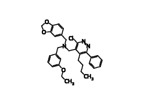 CCCCc1c(-c2ccccc2)nnc(Cl)c1CN(Cc1cccc(OCC)c1)Cc1ccc2c(c1)OCO2